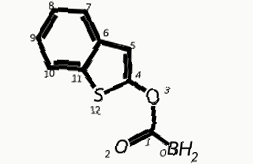 BC(=O)Oc1cc2ccccc2s1